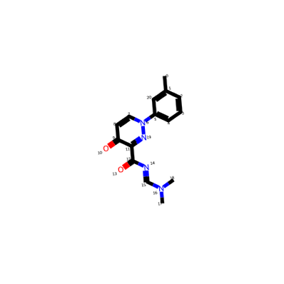 Cc1cccc(-n2ccc(=O)c(C(=O)/N=C/N(C)C)n2)c1